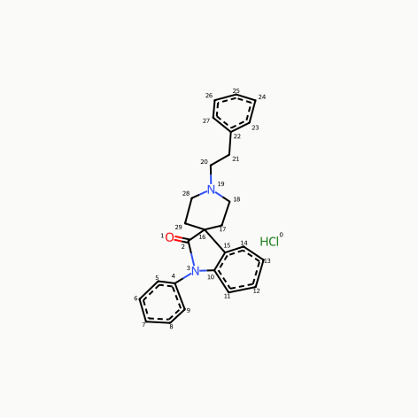 Cl.O=C1N(c2ccccc2)c2ccccc2C12CCN(CCc1ccccc1)CC2